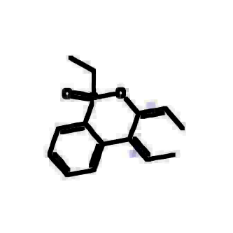 C/C=C1\C(=C/C)OP(=O)(CC)c2ccccc21